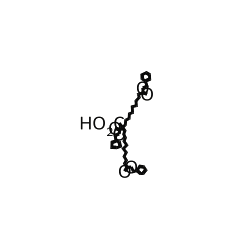 O=C(CCCCCCCCCCC(CCCCCCCCCCC(=O)OCc1ccccc1)(C(=O)O)C(=O)OCc1ccccc1)OCc1ccccc1